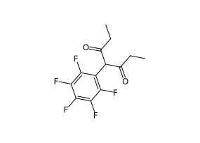 CCC(=O)C(C(=O)CC)c1c(F)c(F)c(F)c(F)c1F